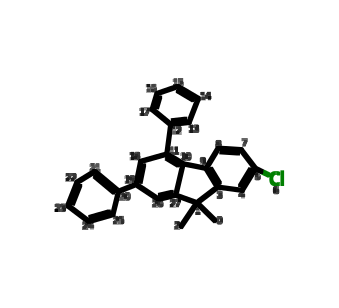 CC1(C)c2cc(Cl)ccc2-c2c(-c3ccccc3)cc(-c3ccccc3)cc21